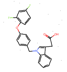 O=C(O)Cc1cn(Cc2ccc(Oc3ccc(F)cc3F)cc2)c2ccccc12